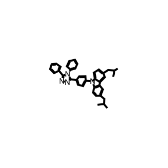 CC(C)Cc1ccc2c(c1)c1cc(CC(C)C)ccc1n2-c1ccc(-c2nnc(-c3ccccc3)n2-c2ccccc2)cc1